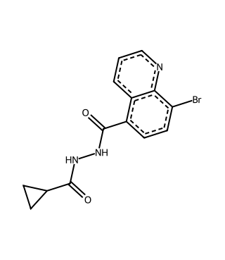 O=C(NNC(=O)C1CC1)c1ccc(Br)c2ncccc12